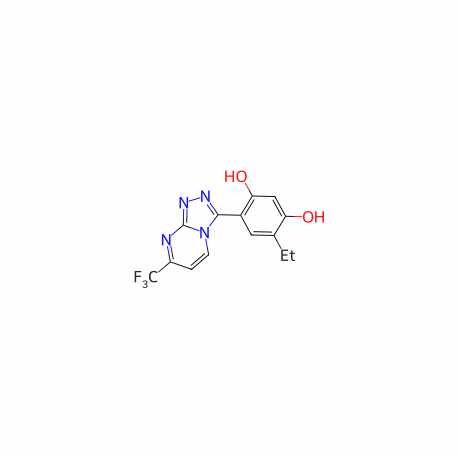 CCc1cc(-c2nnc3nc(C(F)(F)F)ccn23)c(O)cc1O